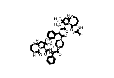 CCC(=S)N[C@H]1CCS[C@H]2CC(C)(C)[C@@H](C(=O)C[C@H](C(=O)N3CCN(C(=O)[C@@H](NC(=O)[C@H]4N5C(=O)NCCS[C@H]5CC4(C)C)c4ccccc4)CC3)c3ccccc3)N2C1=O